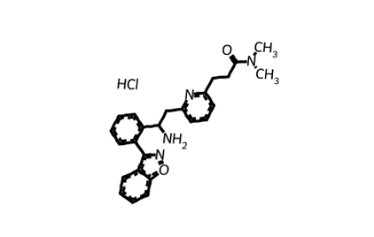 CN(C)C(=O)CCc1cccc(CC(N)c2ccccc2-c2noc3ccccc23)n1.Cl